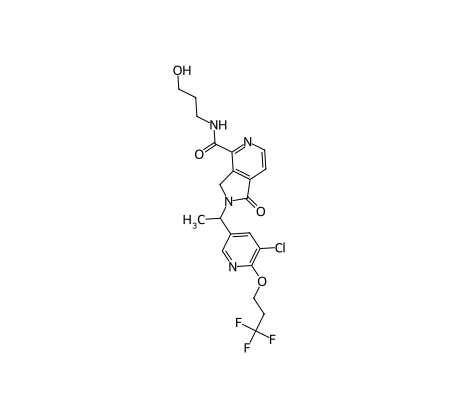 CC(c1cnc(OCCC(F)(F)F)c(Cl)c1)N1Cc2c(ccnc2C(=O)NCCCO)C1=O